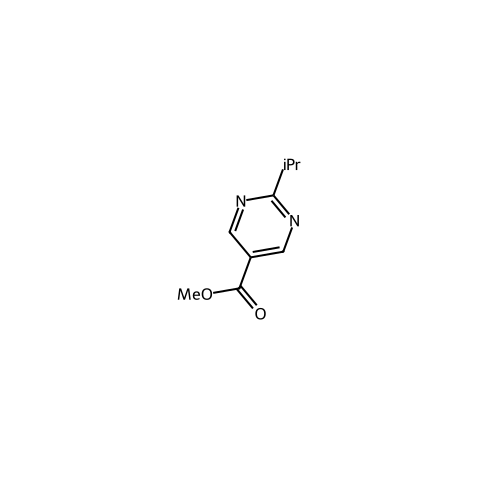 COC(=O)c1cnc(C(C)C)nc1